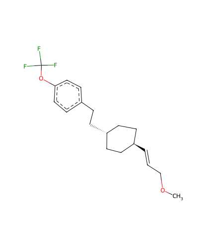 COCC=C[C@H]1CC[C@H](CCc2ccc(OC(F)(F)F)cc2)CC1